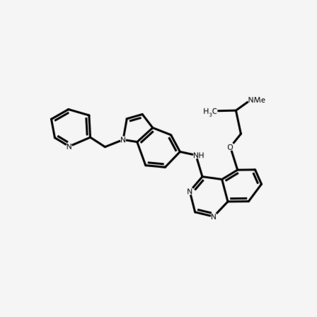 CNC(C)COc1cccc2ncnc(Nc3ccc4c(ccn4Cc4ccccn4)c3)c12